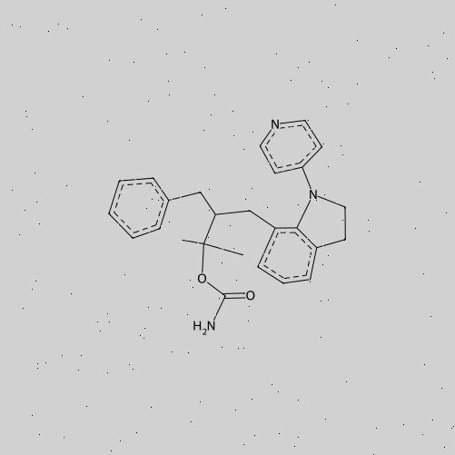 CC(C)(OC(N)=O)C(Cc1ccccc1)Cc1cccc2c1N(c1ccncc1)CC2